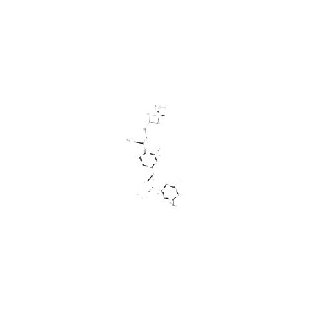 N=S1(=O)CC(CCC(=O)c2ccc(/C=C/C(c3cc(Cl)cc(Cl)c3)C(F)(F)F)cc2F)C1